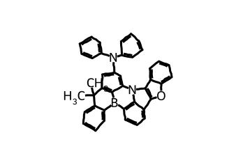 CC1(C)c2ccccc2B2c3c(cc(N(c4ccccc4)c4ccccc4)cc31)-n1c3c2cccc3c2oc3ccccc3c21